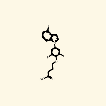 O=C(O)CCCOc1c(F)cc(-n2ccc3c(F)cccc32)cc1F